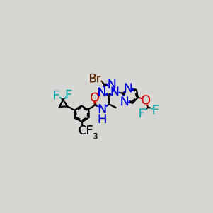 CC(NC(=O)c1cc(C2CC2(F)F)cc(C(F)(F)F)c1)c1nc(Br)nn1-c1ncc(OC(F)F)cn1